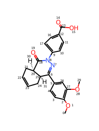 COc1ccc(C2=NN(c3ccc(C(=O)O)cc3)C(=O)[C@@H]3CC=CC[C@H]23)cc1OC